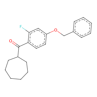 O=C(c1ccc(OCc2ccccc2)cc1F)C1CCCCCC1